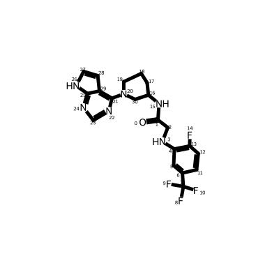 O=C(CNc1cc(C(F)(F)F)ccc1F)NC1CCCN(c2ncnc3[nH]ccc23)C1